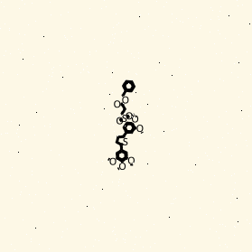 COc1cc(C2CCC(c3cc(OC)c(OC)c(S(=O)(=O)CCC(=O)OCc4ccccc4)c3)S2)cc(OC)c1OC